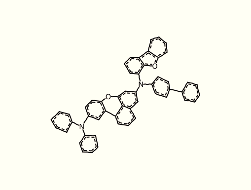 c1ccc(-c2ccc(N(c3cc4c5c(cccc5c3)-c3cc(N(c5ccccc5)c5ccccc5)ccc3O4)c3cccc4c3oc3ccccc34)cc2)cc1